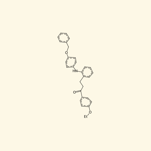 CCOc1ccc(C(=O)CCc2ccccc2Nc2ccc(OCc3ccccc3)cc2)cc1